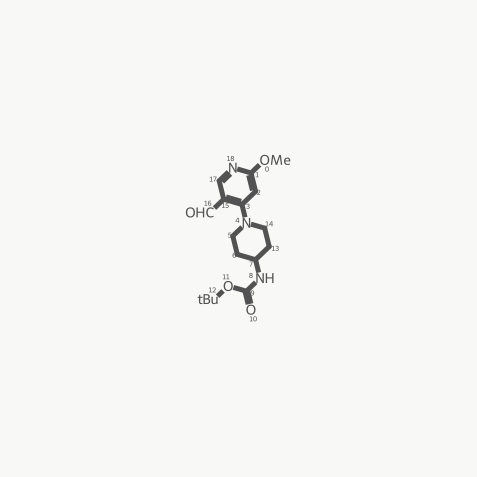 COc1cc(N2CCC(NC(=O)OC(C)(C)C)CC2)c(C=O)cn1